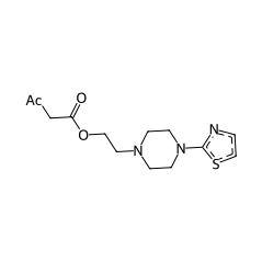 CC(=O)CC(=O)OCCN1CCN(c2nccs2)CC1